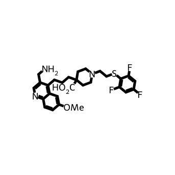 COc1ccc2ncc(CN)c(CCCC3(C(=O)O)CCN(CCSc4c(F)cc(F)cc4F)CC3)c2c1